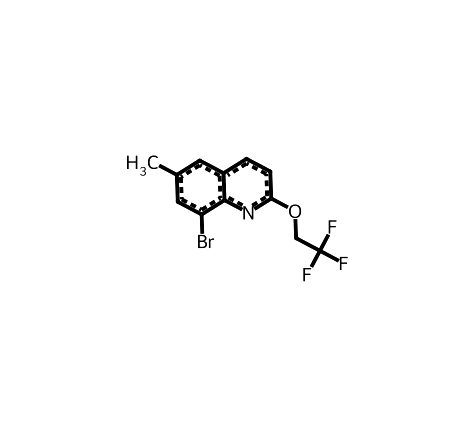 Cc1cc(Br)c2nc(OCC(F)(F)F)ccc2c1